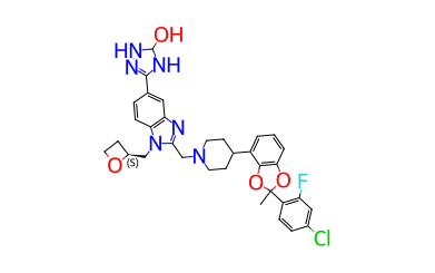 CC1(c2ccc(Cl)cc2F)Oc2cccc(C3CCN(Cc4nc5cc(C6=NNC(O)N6)ccc5n4C[C@@H]4CCO4)CC3)c2O1